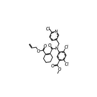 C=CCOC(=O)C1=C(C(=O)N(Cc2ccc(Cl)nc2)c2cc(C(=O)OC)c(Cl)cc2Cl)CCCC1